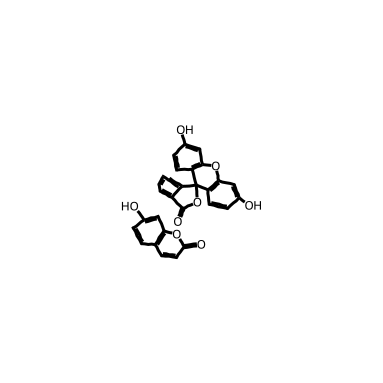 O=C1OC2(c3ccc(O)cc3Oc3cc(O)ccc32)c2ccccc21.O=c1ccc2ccc(O)cc2o1